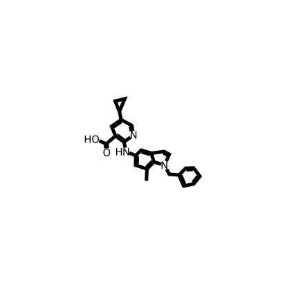 Cc1cc(Nc2ncc(C3CC3)cc2C(=O)O)cc2ccn(Cc3ccccc3)c12